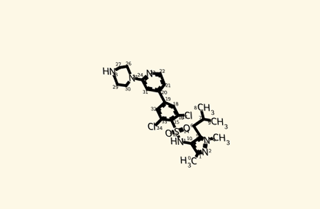 Cc1nn(C)c(CC(C)C)c1NS(=O)(=O)c1c(Cl)cc(-c2ccnc(N3CCNCC3)c2)cc1Cl